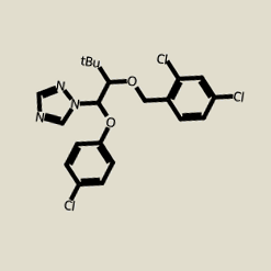 CC(C)(C)C(OCc1ccc(Cl)cc1Cl)C(Oc1ccc(Cl)cc1)n1cncn1